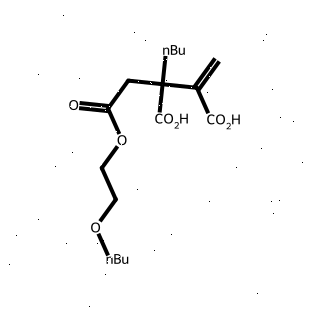 C=C(C(=O)O)C(CCCC)(CC(=O)OCCOCCCC)C(=O)O